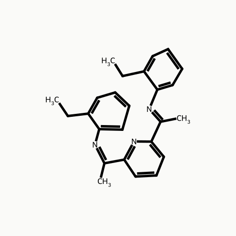 CCc1ccccc1N=C(C)c1cccc(C(C)=Nc2ccccc2CC)n1